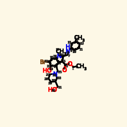 CCOC(=O)c1c(CNc2cccc(C)c2)n(C)c2cc(Br)c(O)c(CN3CCCC(CO)C3)c12